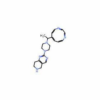 CC(c1cccnccncc1)N1CCN(c2ncc3c(n2)CCNC3)CC1